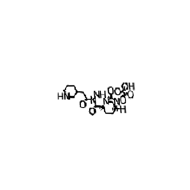 NN(C(=O)CC1CCCNC1)C(=O)[C@@H]1CC[C@@H]2CN1C(=O)N2OS(=O)(=O)O